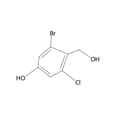 OCc1c(Cl)cc(O)cc1Br